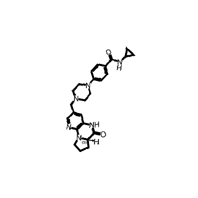 O=C(NC1CC1)c1ccc(N2CCN(Cc3cnc4c(c3)NC(=O)[C@@H]3CCCN43)CC2)cc1